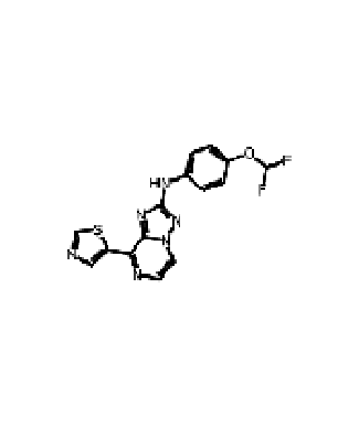 FC(F)Oc1ccc(Nc2nc3c(-c4cncs4)nccn3n2)cc1